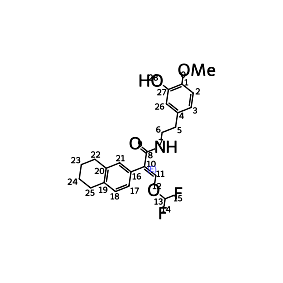 COc1ccc(CCNC(=O)/C(=C/OC(F)F)c2ccc3c(c2)CCCC3)cc1O